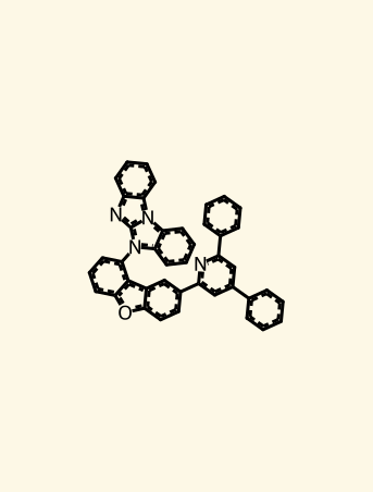 c1ccc(-c2cc(-c3ccccc3)nc(-c3ccc4oc5cccc(-n6c7ccccc7n7c8ccccc8nc67)c5c4c3)c2)cc1